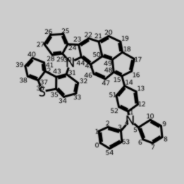 c1ccc(N(c2ccccc2)c2ccc(-c3ccc4ccc5cc6c7ccccc7n(-c7cccc8sc9ccccc9c78)c6c6ccc3c4c56)cc2)cc1